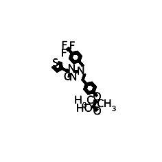 CC(C)(Oc1ccc(CCN(Cc2ccc(C(F)(F)F)cc2)c2noc(-c3ccsc3)n2)cc1)C(=O)O